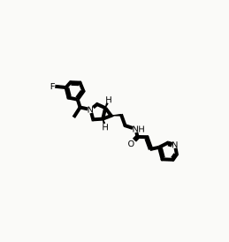 CC(c1cccc(F)c1)N1C[C@@H]2[C@@H](CCNC(=O)/C=C/c3cccnc3)[C@@H]2C1